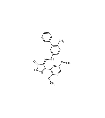 COc1ccc(OC)c(C2=NNC(=O)/C2=N/Nc2ccc(C)c(-c3cccnc3)c2)c1